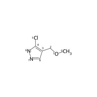 COCC1=C(Cl)[N]N=C1